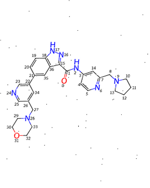 O=C(Nc1ccnc(CN2CCCC2)c1)c1n[nH]c2ccc(-c3cncc(CN4CCOCC4)c3)cc12